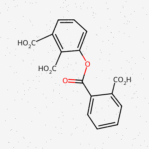 O=C(O)c1ccccc1C(=O)Oc1cccc(C(=O)O)c1C(=O)O